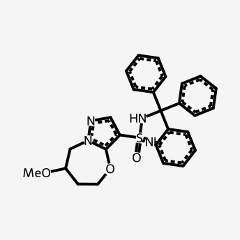 COC1CCOc2c(S(=N)(=O)NC(c3ccccc3)(c3ccccc3)c3ccccc3)cnn2C1